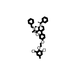 CCN(Cc1ccccc1)C[C@H]1C(C(=O)O)C(c2ccc(OCCOc3c(Cl)cc(C)cc3Cl)cc2)=CCN1[C@@H](C)c1ccccc1